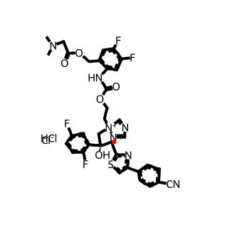 C[C@@H](c1nc(-c2ccc(C#N)cc2)cs1)[C@](O)(C[N+]1(CCOC(=O)Nc2cc(F)c(F)cc2COC(=O)CN(C)C)C=NC=N1)c1cc(F)ccc1F.Cl.[Cl-]